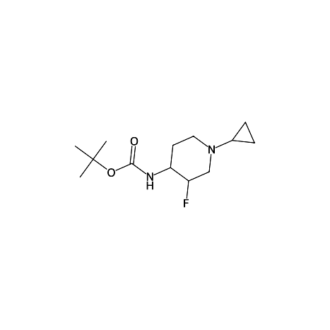 CC(C)(C)OC(=O)NC1CCN(C2CC2)CC1F